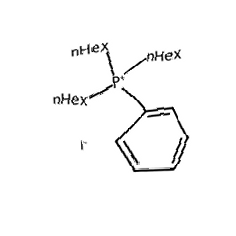 CCCCCC[P+](CCCCCC)(CCCCCC)c1ccccc1.[I-]